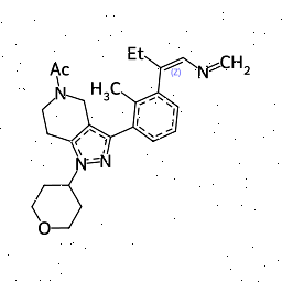 C=N/C=C(/CC)c1cccc(-c2nn(C3CCOCC3)c3c2CN(C(C)=O)CC3)c1C